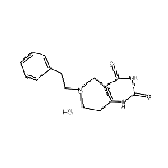 Cl.O=c1[nH]c2c(c(=O)[nH]1)CN(CCc1ccccc1)CC2